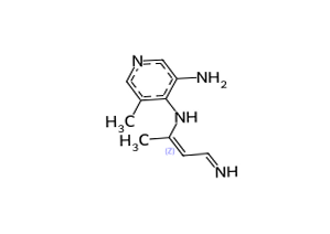 C/C(=C/C=N)Nc1c(C)cncc1N